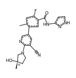 Cc1cc(F)c(C(=O)Nc2cc[nH]n2)cc1-c1cnc(N2CC[C@](C)(O)C2)c(C#N)c1